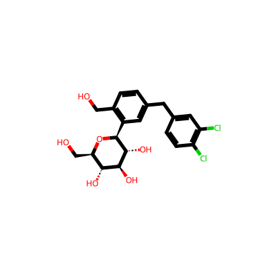 OCc1ccc(Cc2ccc(Cl)c(Cl)c2)cc1[C@@H]1O[C@H](CO)[C@@H](O)[C@H](O)[C@H]1O